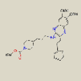 COc1cc2nc(/C=C/c3ccccc3)c(NCCCC3CCN(C(=O)OC(C)(C)C)CC3)nc2cc1OC